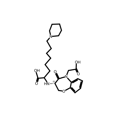 O=C(O)CN1C(=O)[C@@H](NC(CCCCCCN2CCCCC2)C(=O)O)COc2ccccc21